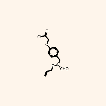 C=CCON(C=O)Cc1ccc(OCC(=O)Cl)cc1